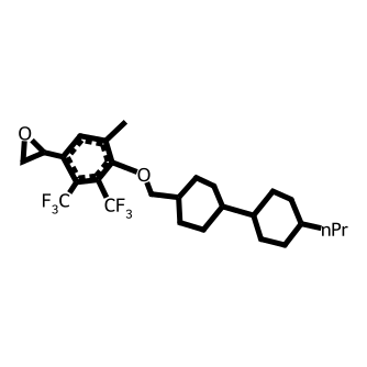 CCCC1CCC(C2CCC(COc3c(C)cc(C4CO4)c(C(F)(F)F)c3C(F)(F)F)CC2)CC1